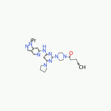 C#CCCC(=O)N1CCN(c2nc(Nc3cc4c(cn3)cnn4C(C)C)cc(N3CCCC3)n2)CC1